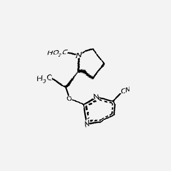 CC(Oc1nccc(C#N)n1)[C@@H]1CCCN1C(=O)O